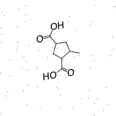 CC1CC(C(=O)O)CC1C(=O)O